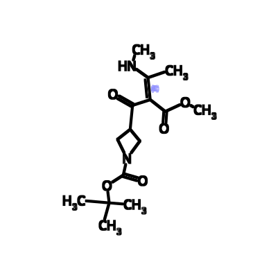 CN/C(C)=C(/C(=O)OC)C(=O)C1CN(C(=O)OC(C)(C)C)C1